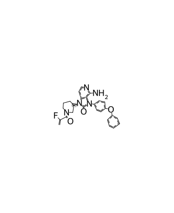 C=C(F)C(=O)N1CCC[C@@H](n2c(=O)n(-c3ccc(Oc4ccccc4)cc3)c3c(N)nccc32)C1